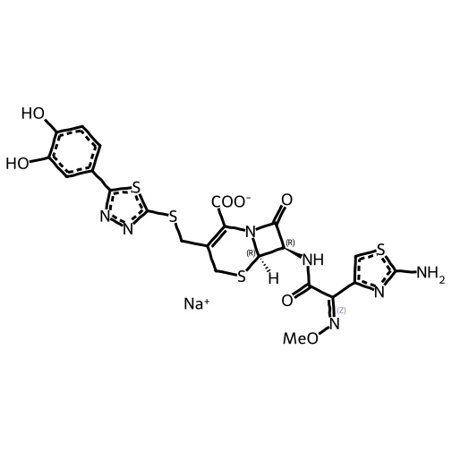 CO/N=C(\C(=O)N[C@@H]1C(=O)N2C(C(=O)[O-])=C(CSc3nnc(-c4ccc(O)c(O)c4)s3)CS[C@H]12)c1csc(N)n1.[Na+]